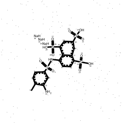 Cc1ccc(S(=O)(=O)Nc2ccc(S(=O)(=O)O)c3cc(S(=O)(=O)O)cc(S(=O)(=O)O)c23)cc1N.[NaH].[NaH].[NaH]